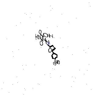 O=C1NC(=O)N(/N=C/c2ccc(-c3ccc([N+](=O)[O-])cc3)o2)C1O